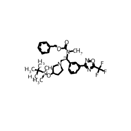 CN(C(=O)OCc1ccccc1)[C@H](CN1CCC(O[Si](C)(C)C(C)(C)C)C1)c1cccc(-c2noc(C(F)(F)F)n2)c1